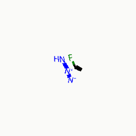 C=CF.[N-]=[N+]=N